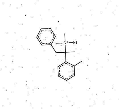 CC[N+](C)(C)C(C)(Cc1ccccc1)c1ccccc1C